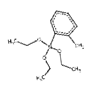 CCO[Si](OCC)(OCC)c1ccccc1C